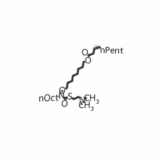 [CH2]CCCCCCCN(OCCCCCCCCOC(=O)C/C=C\CCCCC)C(=O)SCCN(C)C